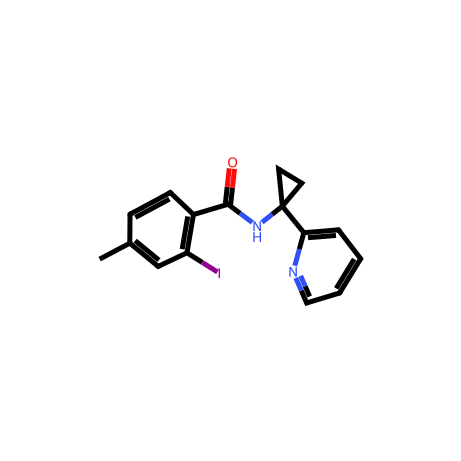 Cc1ccc(C(=O)NC2(c3ccccn3)CC2)c(I)c1